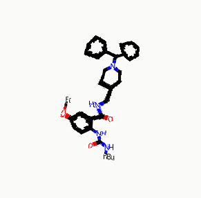 CCCCNC(=O)Nc1ccc(OCC)cc1C(=O)NCC1CCN(C(c2ccccc2)c2ccccc2)CC1